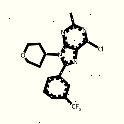 Cc1nc(Cl)c2nc(-c3cccc(C(F)(F)F)c3)n(C3CCOCC3)c2n1